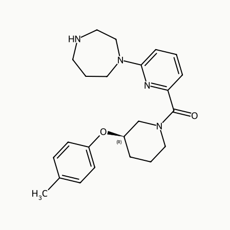 Cc1ccc(O[C@@H]2CCCN(C(=O)c3cccc(N4CCCNCC4)n3)C2)cc1